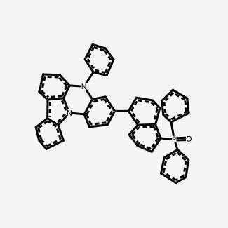 O=P(c1ccccc1)(c1ccccc1)c1cccc2c(-c3ccc4c(c3)N(c3ccccc3)c3cccc5c6ccccc6n-4c35)cccc12